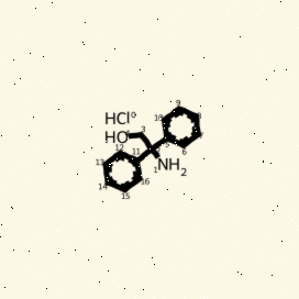 Cl.NC(CO)(c1ccccc1)c1ccccc1